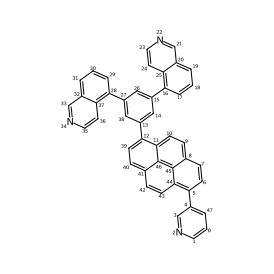 c1cncc(-c2ccc3ccc4c(-c5cc(-c6cccc7cnccc67)cc(-c6cccc7cnccc67)c5)ccc5ccc2c3c54)c1